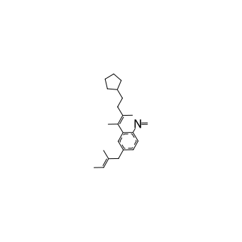 C=Nc1ccc(C/C(C)=C/C)cc1/C(C)=C(\C)CCC1CCCC1